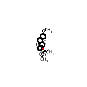 CCC1([C@@]23C=CC4(CC2)[C@@H]2CCC5=C(CC=C(OC)C5)[C@H]2CC[C@@]43C)OC(C)O1